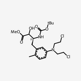 COC(=O)C(O)[C@H](Cc1cc(N(CCCl)CCCl)ccc1C)NC(=O)OC(C)(C)C